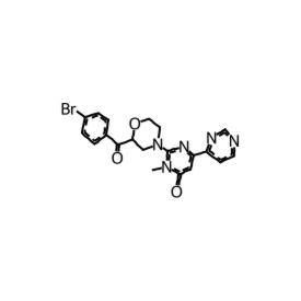 Cn1c(N2CCOC(C(=O)c3ccc(Br)cc3)C2)nc(-c2ccncn2)cc1=O